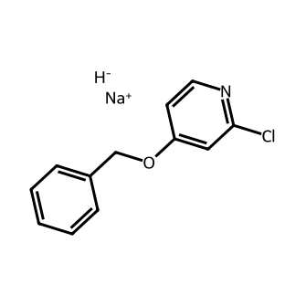 Clc1cc(OCc2ccccc2)ccn1.[H-].[Na+]